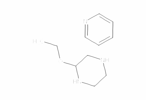 CCOC1CNCCN1.c1ccncc1